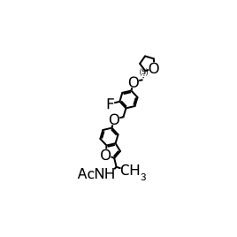 CC(=O)NC(C)c1cc2cc(OCc3ccc(OC[C@@H]4CCCO4)cc3F)ccc2o1